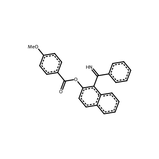 COc1ccc(C(=O)Oc2ccc3ccccc3c2C(=N)c2ccccc2)cc1